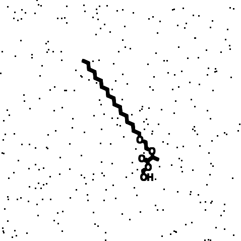 CCCCCCCCCCCCCCCCCCOCCOC(C)C(=O)OCO